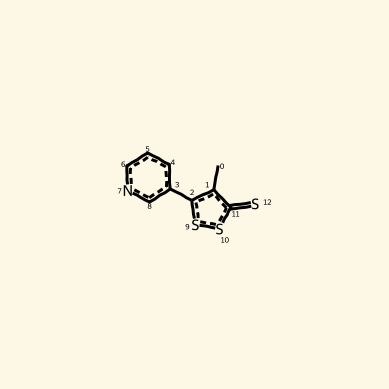 Cc1c(-c2cccnc2)ssc1=S